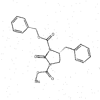 CC(C)(C)OC(=O)N1C[C@@H](Cc2ccccc2)N(C(=O)OCc2ccccc2)C1=O